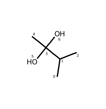 CC(C)C(C)(O)O